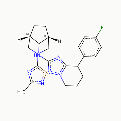 Cc1nsc(N2C[C@H]3CC[C@@H](C2)C3Nc2nc3n(n2)CCCC3c2ccc(F)cc2)n1